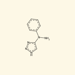 NN(c1ccccc1)c1c[nH]nn1